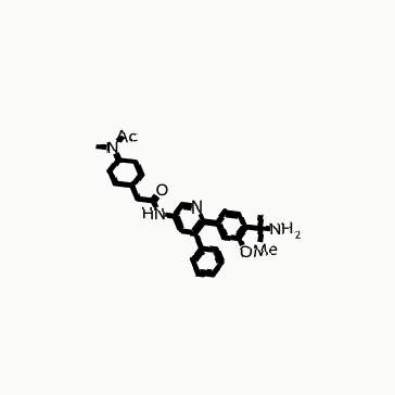 COc1cc(-c2ncc(NC(=O)CC3CCC(N(C)C(C)=O)CC3)cc2-c2ccccc2)ccc1C(C)(C)N